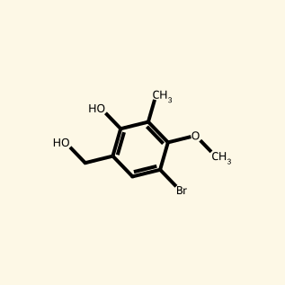 COc1c(Br)cc(CO)c(O)c1C